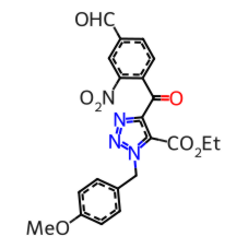 CCOC(=O)c1c(C(=O)c2ccc(C=O)cc2[N+](=O)[O-])nnn1Cc1ccc(OC)cc1